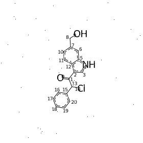 O=C(c1c[nH]c2cc(CO)ccc12)C(Cl)c1ccccc1